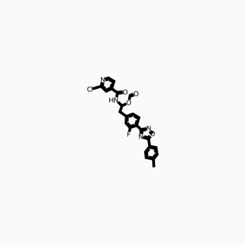 Cc1ccc(-c2nc(-c3ccc(CC(NC(=O)c4ccnc(Cl)c4)OC=O)cc3F)no2)cc1